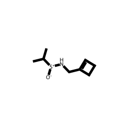 CC(C)[S+]([O-])NCC1=CCC1